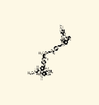 CCNC(=O)C(=N)N(C(=N)c1cc(C(C)C)c(O)cc1O)c1ccc(CN2CCN(CCCC(C)(C)SSCCOC(=O)N3CCN(CCCOc4ccc5c(c4OC)N=C(NC(=O)c4cnc(N)nc4)N4CCN=C54)CC3)CC2)cc1